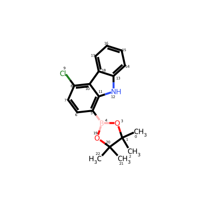 CC1(C)OB(c2ccc(Cl)c3c2[nH]c2ccccc23)OC1(C)C